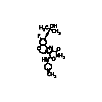 CN1CCC(NC(=O)c2c(C(N)=O)nc3n2CCOc2cc(F)c(C#CC(C)(C)O)cc2-3)CC1